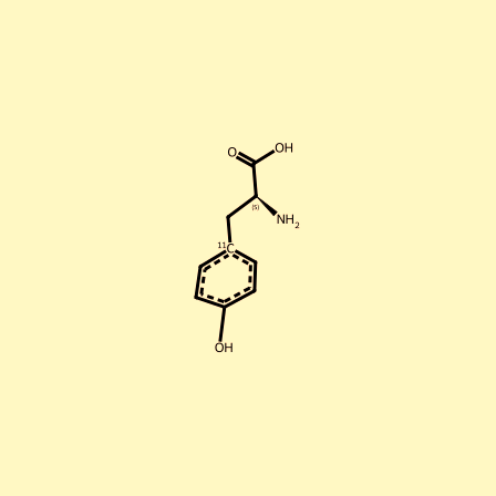 N[C@@H](C[11c]1ccc(O)cc1)C(=O)O